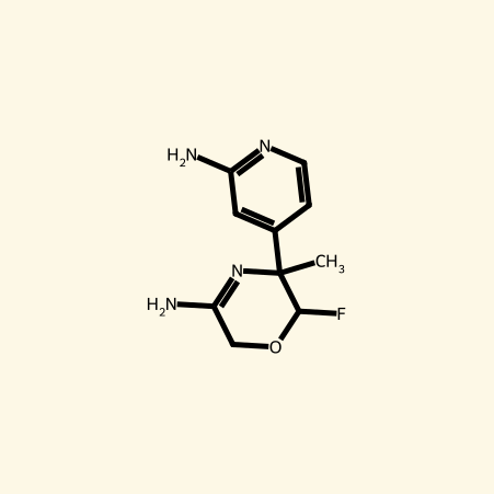 CC1(c2ccnc(N)c2)N=C(N)COC1F